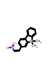 C[Si]1(C)c2ccccc2-c2ccc(/C=C\[N+](=O)[O-])cc21